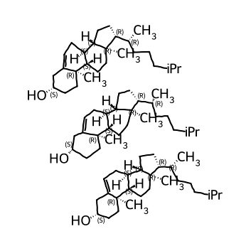 CC(C)CCC[C@@H](C)[C@H]1CC[C@H]2[C@@H]3CC=C4C[C@@H](O)CC[C@]4(C)[C@H]3CC[C@]12C.CC(C)CCC[C@@H](C)[C@H]1CC[C@H]2[C@@H]3CC=C4C[C@@H](O)CC[C@]4(C)[C@H]3CC[C@]12C.CC(C)CCC[C@@H](C)[C@H]1CC[C@H]2[C@@H]3CC=C4C[C@@H](O)CC[C@]4(C)[C@H]3CC[C@]12C